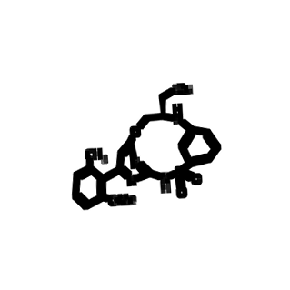 COc1cccc(C)c1-c1cc2nc(n1)NS(=O)(=O)c1cccc(c1)N[C@H](CC(C)(C)C)CO2